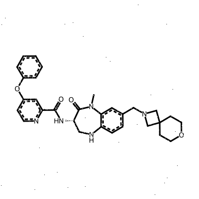 CN1C(=O)[C@@H](NC(=O)c2cc(Oc3ccccc3)ccn2)CNc2ccc(CN3CC4(CCOCC4)C3)cc21